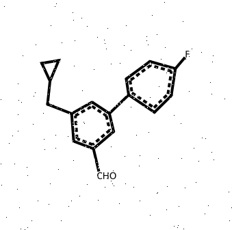 O=Cc1cc(CC2CC2)cc(-c2ccc(F)cc2)c1